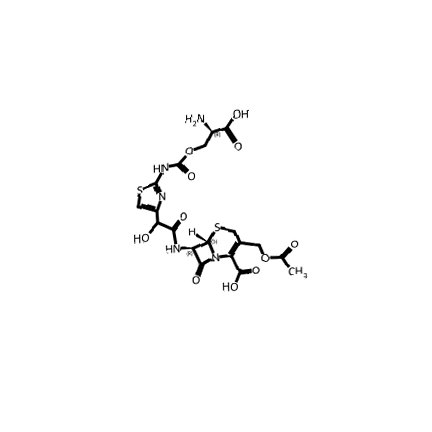 CC(=O)OCC1=C(C(=O)O)N2C(=O)[C@@H](NC(=O)C(O)c3csc(NC(=O)OC[C@@H](N)C(=O)O)n3)[C@@H]2SC1